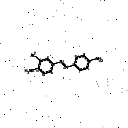 CC(=O)c1cc(N=Nc2ccc(N)cc2)ccc1N